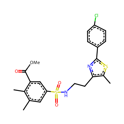 COC(=O)c1cc(S(=O)(=O)NCCc2nc(-c3ccc(Cl)cc3)sc2C)cc(C)c1C